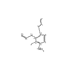 C=CCc1ccc([SiH3])c(C)c1CC=C